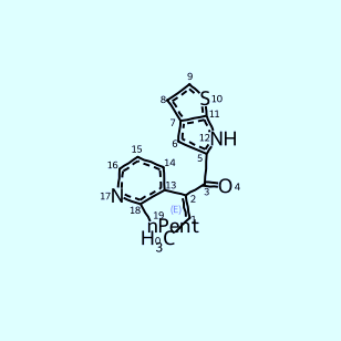 C/C=C(/C(=O)c1cc2ccsc2[nH]1)c1cccnc1CCCCC